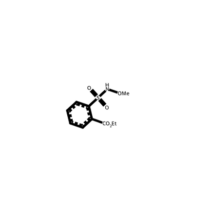 CCOC(=O)c1ccccc1S(=O)(=O)NOC